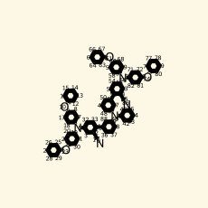 N#Cc1cc(N(c2ccc(Oc3ccccc3)cc2)c2ccc(Oc3ccccc3)cc2)ccc1-c1cccc(N(c2ccccc2)c2cccc(-c3ccc(N(c4ccc(Oc5ccccc5)cc4)c4ccc(Oc5ccccc5)cc4)cc3C#N)c2)c1